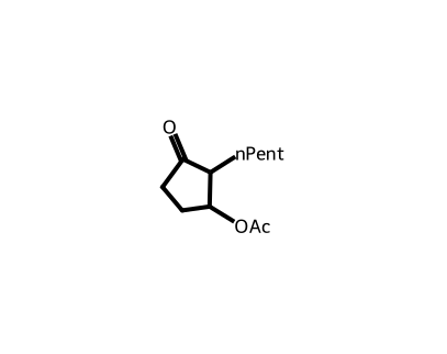 CCCCCC1C(=O)CCC1OC(C)=O